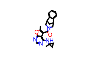 Cc1oc2ncnc(NC3(C)CC3)c2c1C(=O)N1CC2CC(C1)c1ccccc12